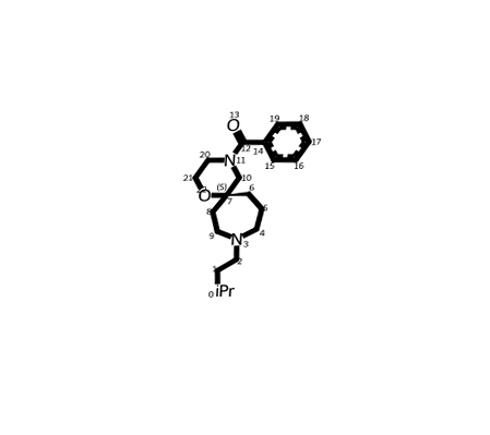 CC(C)CCN1CCC[C@]2(CC1)CN(C(=O)c1ccccc1)CCO2